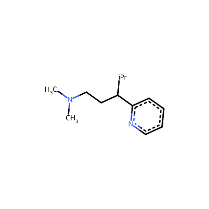 CC(C)C(CCN(C)C)c1ccccn1